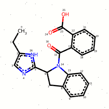 CCc1cnc(C2Cc3ccccc3N2C(=O)c2ccccc2C(=O)O)[nH]1